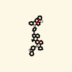 c1ccc(-c2ccccc2N(c2ccc(-c3ccc4c5c(cccc35)-c3ccc(N(c5ccc6oc7ccccc7c6c5)c5ccccc5-c5ccccc5)cc3C43CC3)cc2)c2ccc3oc4ccccc4c3c2)cc1